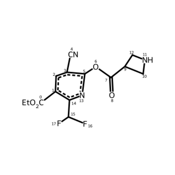 CCOC(=O)c1cc(C#N)c(OC(=O)C2CNC2)nc1C(F)F